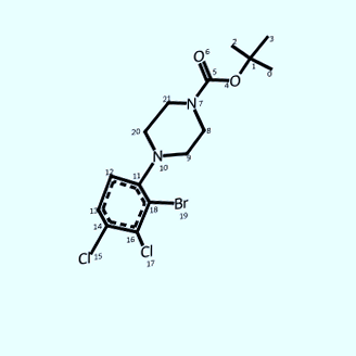 CC(C)(C)OC(=O)N1CCN(c2ccc(Cl)c(Cl)c2Br)CC1